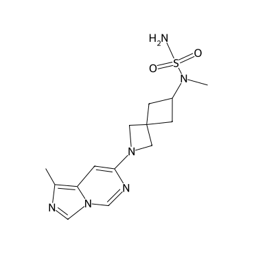 Cc1ncn2cnc(N3CC4(CC(N(C)S(N)(=O)=O)C4)C3)cc12